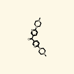 CN1CCN(c2ccc(C(=O)c3ccc(N4CCN(C)CC4)nc3)cn2)CC1